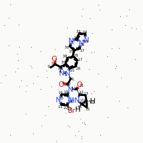 CC(=O)c1nn(CC(=O)N(C(=O)[C@@H]2C[C@H]3C[C@H]3N2)c2cncc(Br)n2)c2ccc(-c3cnc4ccnn4c3)cc12